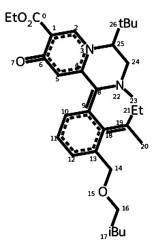 CCOC(=O)c1cn2c(cc1=O)/C(=c1\cccc(COCC(C)CC)\c1=C(/C)CC)N(C)CC2C(C)(C)C